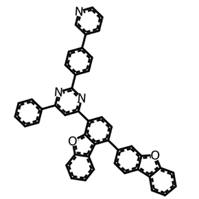 c1ccc(-c2cc(-c3ccc(-c4ccc5c(c4)oc4ccccc45)c4c3oc3ccccc34)nc(-c3ccc(-c4cccnc4)cc3)n2)cc1